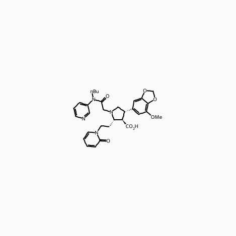 CCCCN(C(=O)CN1C[C@H](c2cc(OC)c3c(c2)OCO3)[C@@H](C(=O)O)[C@@H]1CCn1ccccc1=O)c1cccnc1